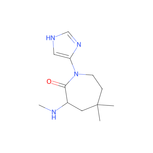 CNC1CC(C)(C)CCN(c2c[nH]cn2)C1=O